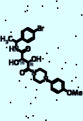 COc1ccc(N2CCN(C(=O)[C@H](O)[C@@H](O)C(=O)NC(C)c3ccc(Br)cc3)CC2)cc1